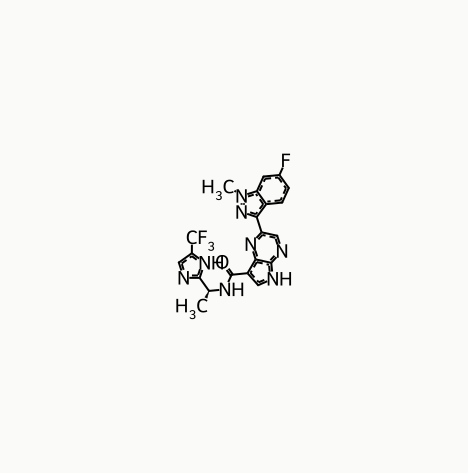 C[C@H](NC(=O)c1c[nH]c2ncc(-c3nn(C)c4cc(F)ccc34)nc12)c1ncc(C(F)(F)F)[nH]1